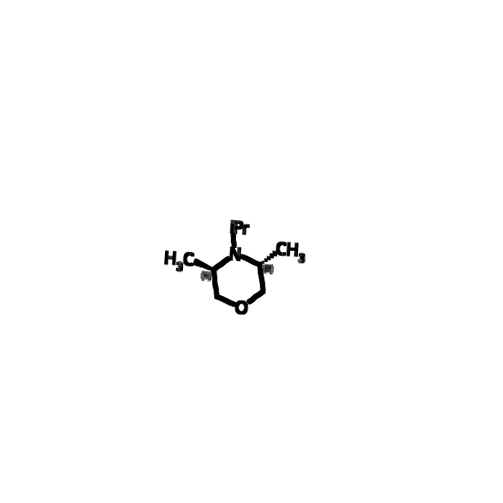 CC(C)N1[C@H](C)COC[C@H]1C